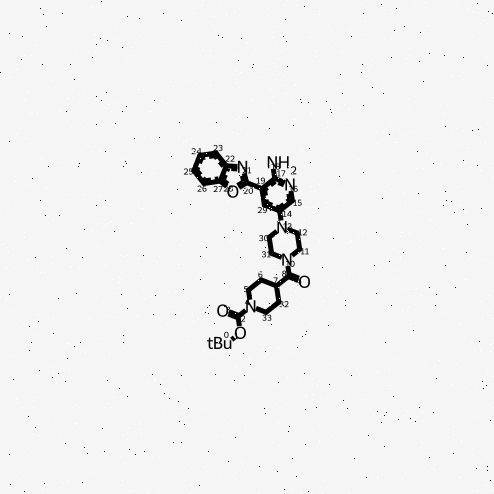 CC(C)(C)OC(=O)N1CCC(C(=O)N2CCN(c3cnc(N)c(-c4nc5ccccc5o4)c3)CC2)CC1